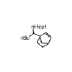 CCCCCCCC(CCCC)C12C=CC(CC1)C2